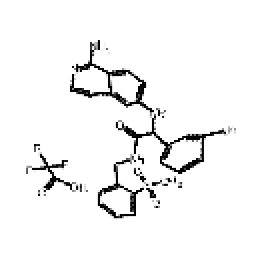 CC(C)c1cccc(C(Nc2ccc3c(N)nccc3c2)C(=O)NCc2ccccc2S(C)(=O)=O)c1.O=C(O)C(F)(F)F